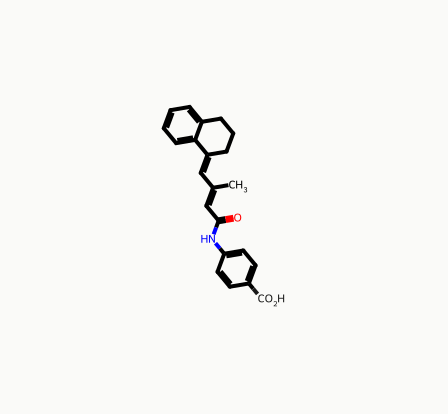 CC(=C\C(=O)Nc1ccc(C(=O)O)cc1)/C=C1\CCCc2ccccc21